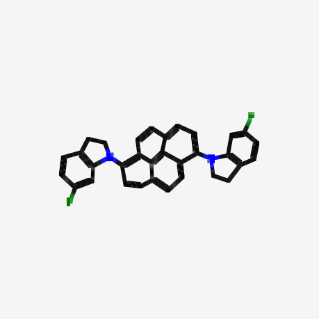 Fc1ccc2c(c1)N(c1ccc3ccc4c(N5CCc6ccc(F)cc65)ccc5ccc1c3c54)CC2